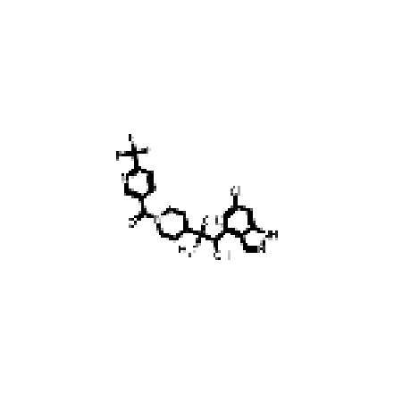 CC(C)(C1CCN(C(=O)c2ccc(C(F)(F)F)nc2)CC1)C(O)c1cc(Cl)cc2[nH]ncc12